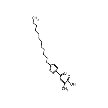 CCCCCCCCCCCCc1ccc(C(=O)C=C(C)C(=O)O)cc1